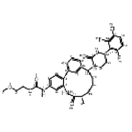 COCCOC(=O)Nc1ccc2c(c1)NC(=O)[C@H](C)CCC[C@H](N1CC[C@H](c3c(F)ccc(Cl)c3F)OC1=O)c1ccnc-2c1